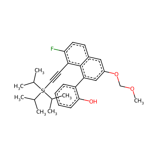 COCOc1cc(-c2ccccc2O)c2c(C#C[Si](C(C)C)(C(C)C)C(C)C)c(F)ccc2c1